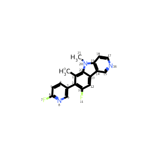 Cc1c(-c2ccc(F)nc2)c(F)cc2c3cnccc3n(C)c12